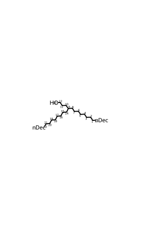 CCCCCCCCCCCCCCCCCCC(CCCO)CCCCCCCCCCCCCCCCCC